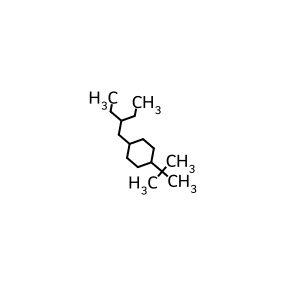 CCC(CC)CC1CCC(C(C)(C)C)CC1